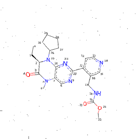 CC[C@@H]1C(=O)N(C)c2cnc(-c3ccncc3CNC(=O)OC)nc2N1C1CCCC1